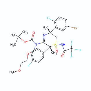 COCCOCN(C(=O)OC(C)(C)C)C1=N[C@](C)(c2cc(Br)ccc2F)C[SH](=O)(NC(=O)C(F)(F)F)[C@]1(C)c1ccc(F)cc1